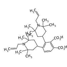 C=CCN1C(C)(C)CC(c2ccc(C(=O)O)c(C(=O)O)c2C2CC(C)(C)N(CC=C)C(C)(C)C2)CC1(C)C